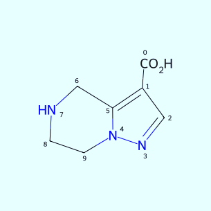 O=C(O)c1cnn2c1CNCC2